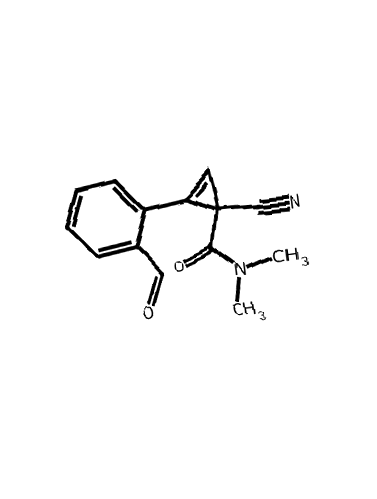 CN(C)C(=O)C1(C#N)C=C1c1ccccc1C=O